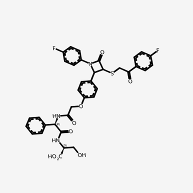 O=C(COc1ccc(C2C(SCC(=O)c3ccc(F)cc3)C(=O)N2c2ccc(F)cc2)cc1)N[C@@H](C(=O)N[C@@H](CO)C(=O)O)c1ccccc1